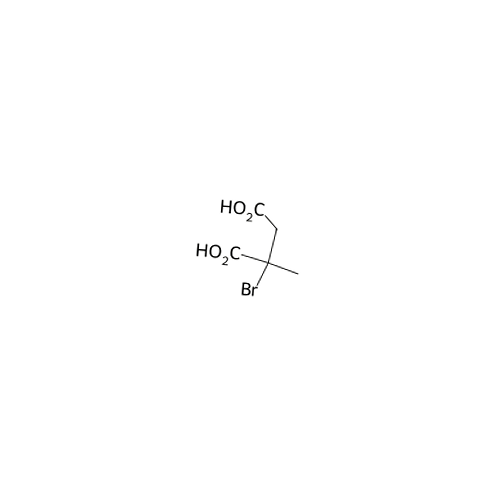 CC(Br)(CC(=O)O)C(=O)O